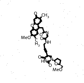 COC[C@@H]1CC[C@H](n2cc(C#CCNC(=O)/C=N\C(=O)Cc3c4cc(C)c(=O)cc-4oc4cc(OC)c(C)cc34)c(=O)[nH]c2=O)O1